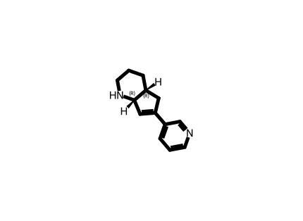 C1=C(c2cccnc2)C[C@H]2CCCN[C@@H]12